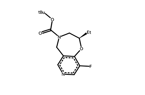 CC[C@@H]1CN(C(=O)OC(C)(C)C)Cc2cncc(F)c2O1